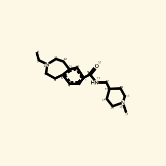 CCN1CCc2ccc(C(=O)NCC3CCN(C)CC3)cc2CC1